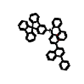 c1ccc(-c2ccccc2N(c2ccc(-c3ccc(-c4ccccc4)c4ccccc34)cc2)c2ccc3c(c2)-c2ccccc2C32c3ccccc3-c3ccccc32)cc1